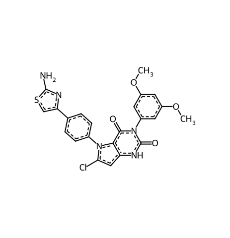 COc1cc(OC)cc(-n2c(=O)[nH]c3cc(Cl)n(-c4ccc(-c5csc(N)n5)cc4)c3c2=O)c1